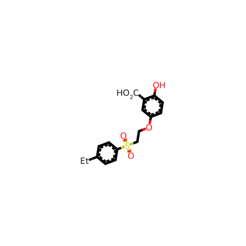 CCc1ccc(S(=O)(=O)CCOc2ccc(O)c(C(=O)O)c2)cc1